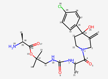 C=C1CN(C(=O)C(NC(=O)NCC(C)(C)OC(=O)[C@H](C)N)C(C)C)CCC1(O)c1ccc(Cl)cc1